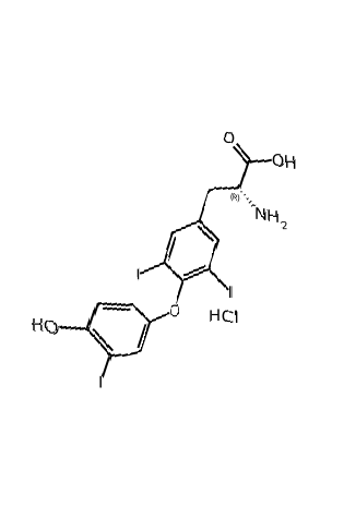 Cl.N[C@H](Cc1cc(I)c(Oc2ccc(O)c(I)c2)c(I)c1)C(=O)O